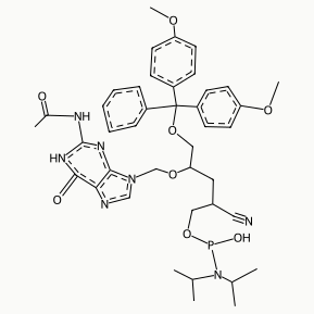 COc1ccc(C(OCC(CC(C#N)COP(O)N(C(C)C)C(C)C)OCn2cnc3c(=O)[nH]c(NC(C)=O)nc32)(c2ccccc2)c2ccc(OC)cc2)cc1